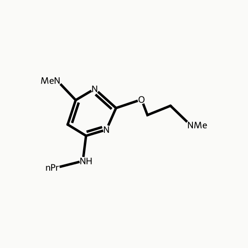 CCCNc1cc(NC)nc(OCCNC)n1